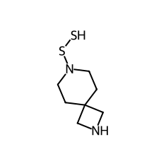 SSN1CCC2(CC1)CNC2